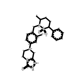 CC1CCC(c2ccccc2)S(=O)(=O)N1Cc1ccc(N2CCn3c(n[nH]c3=O)C2)cc1F